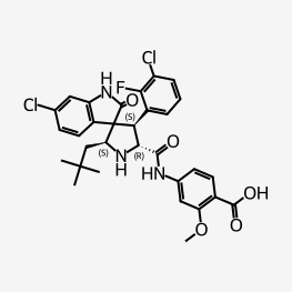 COc1cc(NC(=O)[C@@H]2N[C@@H](CC(C)(C)C)C3(C(=O)Nc4cc(Cl)ccc43)[C@H]2c2cccc(Cl)c2F)ccc1C(=O)O